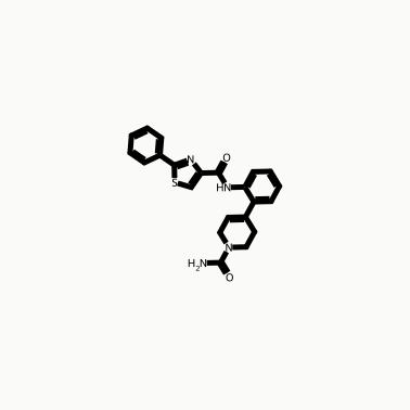 NC(=O)N1CC=C(c2ccccc2NC(=O)c2csc(-c3ccccc3)n2)CC1